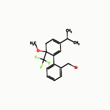 COC1(C(F)(F)F)CC=C(C(C)C)C=C1c1ccccc1CBr